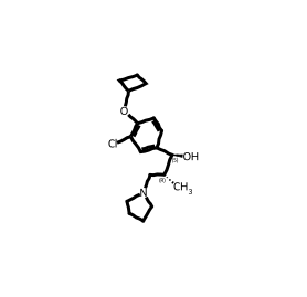 C[C@H](CN1CCCC1)[C@H](O)c1ccc(OC2CCC2)c(Cl)c1